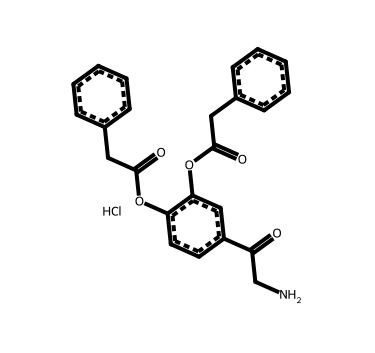 Cl.NCC(=O)c1ccc(OC(=O)Cc2ccccc2)c(OC(=O)Cc2ccccc2)c1